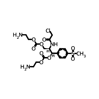 CS(=O)(=O)c1ccc([C@@H](OC(=O)OCCN)[C@@H](COC(=O)OCCN)NC(=O)CCl)cc1